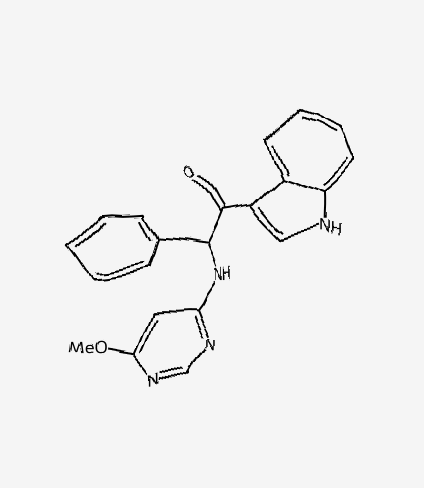 COc1cc(NC(C(=O)c2c[nH]c3ccccc23)c2ccccc2)ncn1